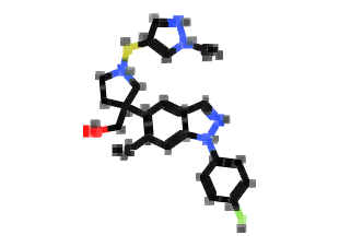 Cc1cc2c(cnn2-c2ccc(F)cc2)cc1C1(CO)CCN(Sc2cnn(C)c2)C1